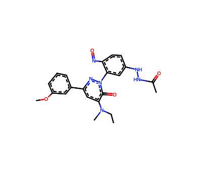 CCN(C)c1cc(-c2cccc(OC)c2)nn(-c2cc(NNC(C)=O)ccc2N=O)c1=O